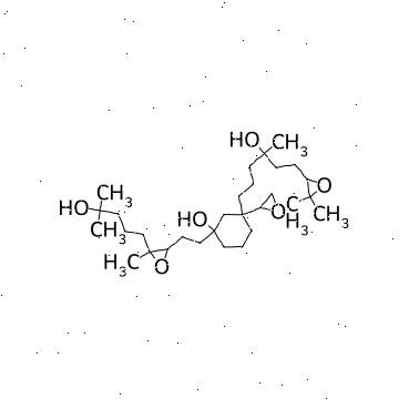 CC(C)(O)CCCC1(C)OC1CCC1(O)CCCC(CCCC(C)(O)CCC2OC2(C)C)(C2CO2)C1